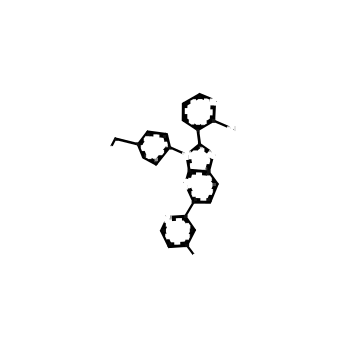 Cc1ccnc(-c2ccc3nc(-c4cccnc4N)n(-c4ccc(CCl)cc4)c3n2)c1